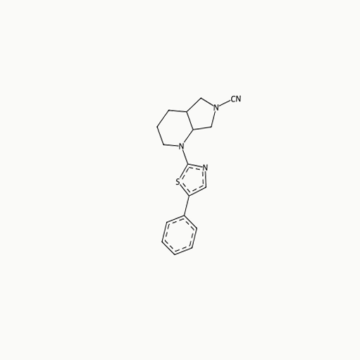 N#CN1CC2CCCN(c3ncc(-c4ccccc4)s3)C2C1